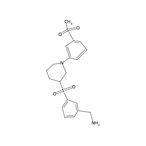 CS(=O)(=O)c1cccc(N2CCCC(S(=O)(=O)c3cccc(CN)c3)C2)c1